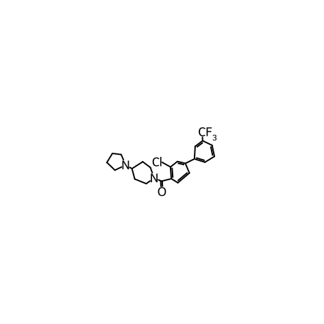 O=C(c1ccc(-c2cccc(C(F)(F)F)c2)cc1Cl)N1CCC(N2CCCC2)CC1